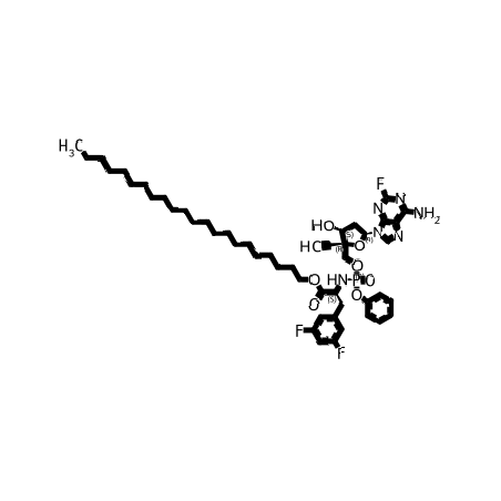 C#C[C@]1(CO[P@](=O)(N[C@@H](Cc2cc(F)cc(F)c2)C(=O)OCCCCCCCCCCCCCCCCCCCCCC)Oc2ccccc2)O[C@@H](n2cnc3c(N)nc(F)nc32)C[C@@H]1O